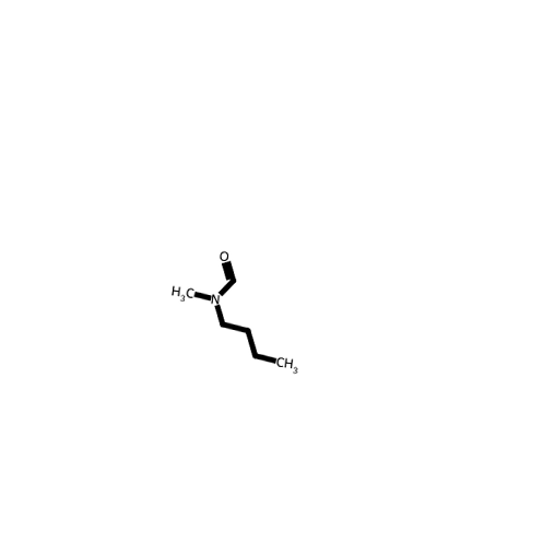 CCCCN(C)C=O